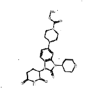 CC(C)(C)OC(=O)N1CCC(c2ccc3c(c2)n(C2CCOCC2)c(=O)n3C2CCC(=O)NC2=O)CC1